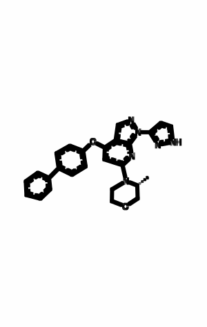 C[C@@H]1COCCN1c1cc(Oc2ccc(-c3ccccc3)cc2)c2cnn(-c3cc[nH]n3)c2n1